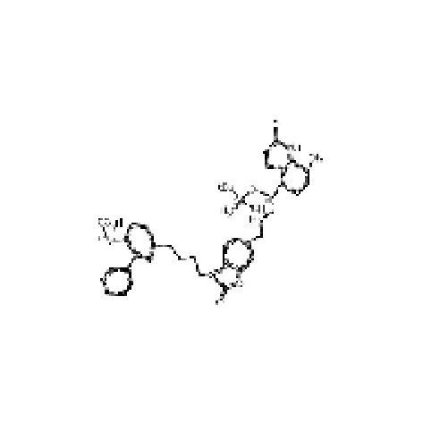 CC(C)(C)[Si](C)(C)O[C@@H](CNCc1ccc2c(c1)oc(=O)n2CCCCc1ccc(NC(=O)O)c(-c2ccccc2)c1)c1ccc(O)c2[nH]c(=O)ccc12